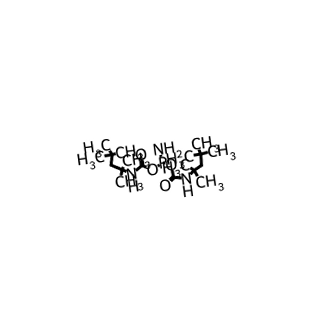 CC(C)(C)CC(C)(C)NC(=O)OP(N)OC(=O)NC(C)(C)CC(C)(C)C